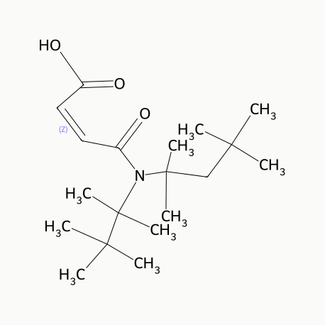 CC(C)(C)CC(C)(C)N(C(=O)/C=C\C(=O)O)C(C)(C)C(C)(C)C